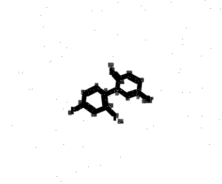 Fc1ccc(C2C=C(Br)C=[C]C2=S)c(F)c1